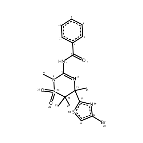 CN1C(NC(=O)c2ccccc2)=NC(C)(c2nc(Br)cs2)C(C)(C)S1(=O)=O